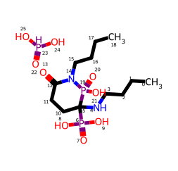 CCCCNC1(P(=O)(O)O)CCC(=O)N(CCCC)P1(=O)O.O=[PH](O)O